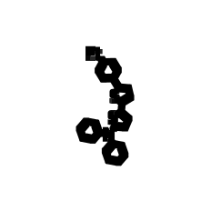 CCc1ccc(-c2ccc(-c3ccc(N(c4ccccc4)c4ccccc4)s3)s2)cc1